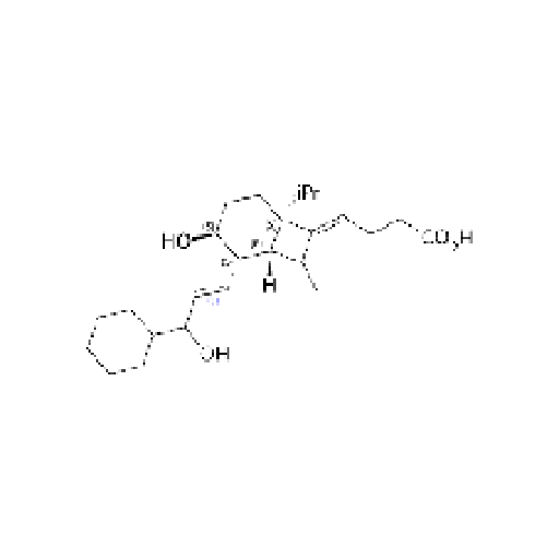 CC1C(=CCCC(=O)O)[C@]2(C(C)C)CC[C@H](O)[C@@H](/C=C/C(O)C3CCCCC3)[C@@H]12